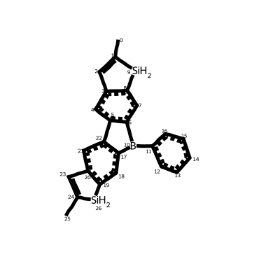 CC1=Cc2cc3c(cc2[SiH2]1)B(c1ccccc1)c1cc2c(cc1-3)C=C(C)[SiH2]2